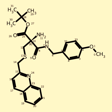 COc1ccc(CNC(=O)[C@](N)(CSCc2ccc3ccccc3n2)C(=O)OC(C)(C)C)cc1